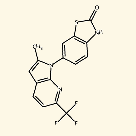 Cc1cc2ccc(C(F)(F)F)nc2n1-c1ccc2[nH]c(=O)sc2c1